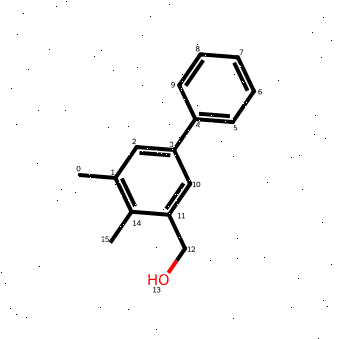 Cc1cc(-c2ccccc2)cc(CO)c1C